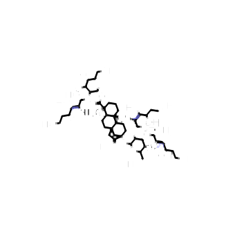 C=C1CC23CCC4C(C)(CCC[C@@]4(C)C(=O)OC4OC(CO)C(O)C(O)C4OC(O)/C(NC(C)=O)=C(\O)C(O)CCO)C2CC[C@]1(OC1OC(CO)C(O)C(OC(O)/C(O)=C(\O)C(O)CCO)C1OC(O)/C(O)=C(/O)C(O)CCO)C3